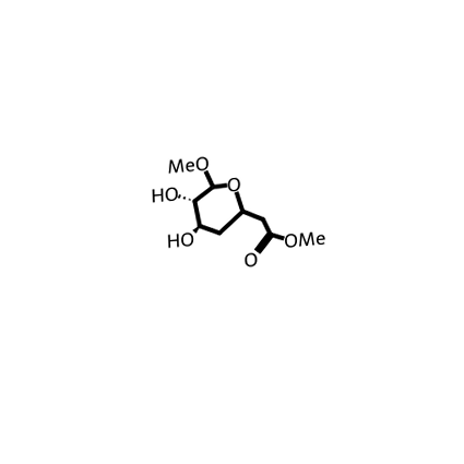 COC(=O)CC1C[C@@H](O)[C@H](O)C(OC)O1